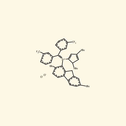 CCCCC1C=C(C(C)(C)C)C=[C]1[Zr+2](=[C](c1cccc(C(F)(F)F)c1)c1cccc(C(F)(F)F)c1)[c]1c(C(C)(C)C)ccc2c1Cc1cc(C(C)(C)C)ccc1-2.[Cl-].[Cl-]